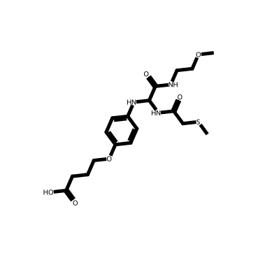 COCCNC(=O)C(NC(=O)CSC)Nc1ccc(OCCCC(=O)O)cc1